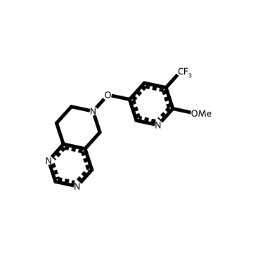 COc1ncc(ON2CCc3ncncc3C2)cc1C(F)(F)F